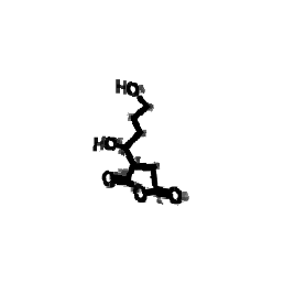 O=C1C=C(C(O)CCCO)C(=O)O1